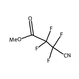 COC(=O)C(F)(F)C(F)(F)C#N